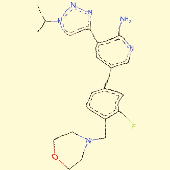 CC(C)n1cc(-c2cc(-c3ccc(CN4CCOCC4)c(F)c3)cnc2N)nn1